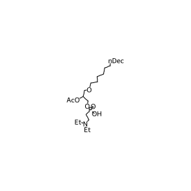 CCCCCCCCCCCCCCCCOCC(COP(=O)(O)CCN(CC)CC)OC(C)=O